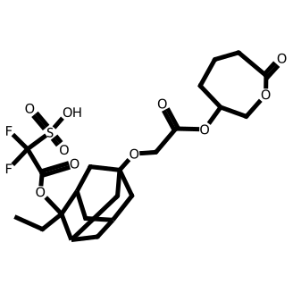 CCC1(OC(=O)C(F)(F)S(=O)(=O)O)C2CC3CC1CC(OCC(=O)OC1CCCC(=O)OC1)(C3)C2